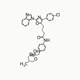 CC1CO[PH](O)(Cc2ccc(NC(=O)CCCc3oc(-n4cnc5ccccc54)nc3-c3ccc(Cl)cc3)cc2)OC1